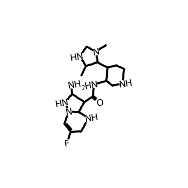 CC1NCN(C)C1C1CCNCC1NC(=O)C1C(N)NN2C=C(F)CNC12